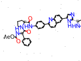 COC(=O)N[C@@H](C(=O)N1CCC[C@H]1C(=O)Nc1ccc(-c2ccc3cc(-c4cnc([C@@H]5CCCN5)[nH]4)ccc3n2)cc1)c1ccccc1